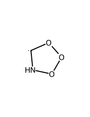 [CH]1NOOO1